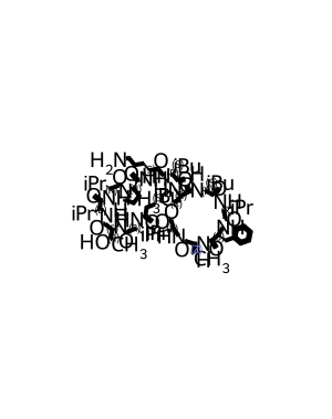 C/C=C1\NC(=O)[C@H](Cc2ccccc2)NC(=O)[C@@H](C(C)C)NC(=O)[C@@H]([C@@H](C)CC)NC(=O)[C@H](NC(=O)[C@H](NC(=O)[C@H](CCCN)NC(=O)[C@H]2CCCN2C(=O)[C@H](NC(=O)[C@@H](NC(=O)[C@@H](NC(=O)[C@H](NC(=O)CC[C@@H](C)CC)C(C)C)[C@@H](C)O)C(C)C)C(C)C)[C@@H](C)CC)[C@@H](C)OC(=O)[C@H](C(C)C)NC1=O